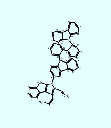 C=Cc1c(/C=C\C)c2c3ccccc3sc2n1-c1ccc2c(c1)c1ccccc1n2-c1ccccc1-c1ccccc1-n1c2ccccc2c2ccccc21